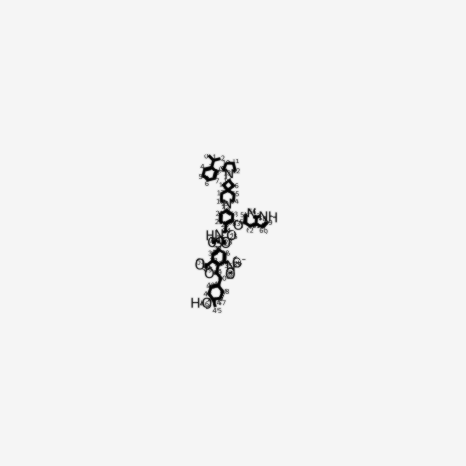 CC(C)c1ccccc1[C@@H]1CCCN1C1CC2(CCN(c3ccc(C(=O)NS(=O)(=O)c4cc5c(c([N+](=O)[O-])c4)C(CC4CCC(C)(O)CC4)OC5=O)c(Oc4cnc5[nH]ccc5c4)c3)CC2)C1